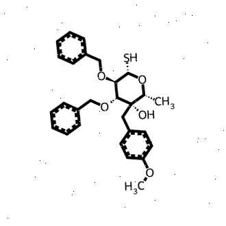 COc1ccc(C[C@@]2(O)[C@H](OCc3ccccc3)[C@@H](OCc3ccccc3)[C@H](S)O[C@@H]2C)cc1